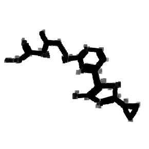 COC(=O)NC(C)CNc1nccc(-c2[nH]c(C3CC3)nc2Br)n1